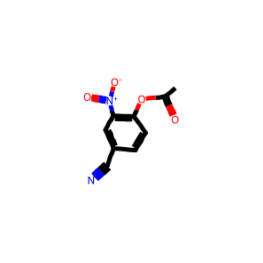 CC(=O)Oc1ccc(C#N)cc1[N+](=O)[O-]